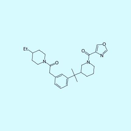 CCC1CCN(C(=O)Cc2cccc(C(C)(C)C3CCCN(C(=O)c4cocn4)C3)c2)CC1